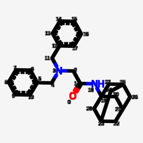 O=C(CN(Cc1ccccc1)Cc1ccccc1)NC12CC3CC(CC(C3)C1)C2